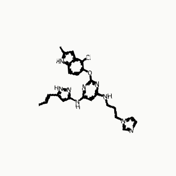 C/C=C/c1cc(Nc2cc(NCCCn3ccnc3)nc(Oc3ccc4[nH]c(C)cc4c3Cl)n2)n[nH]1